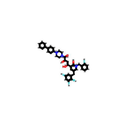 O=C(C=C(O)c1cc(Cc2cc(F)cc(F)c2F)cn(Cc2ccccc2F)c1=O)C(=O)N1CCN(c2ccc(-c3ccccc3)cc2)CC1